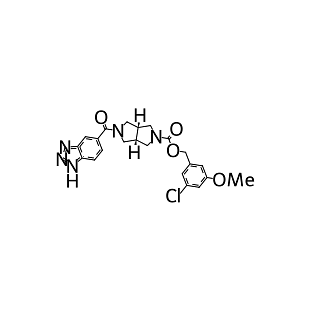 COc1cc(Cl)cc(COC(=O)N2C[C@@H]3CN(C(=O)c4ccc5[nH]nnc5c4)C[C@@H]3C2)c1